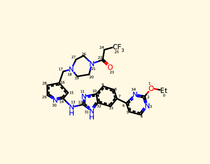 CCOc1nccc(-c2ccc3nc(Nc4cc(CN5CCN(C(=O)CC(F)(F)F)CC5)ccn4)[nH]c3c2)n1